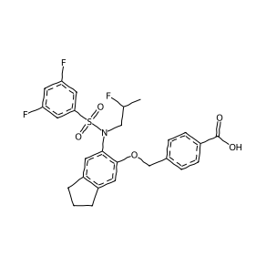 CC(F)CN(c1cc2c(cc1OCc1ccc(C(=O)O)cc1)CCC2)S(=O)(=O)c1cc(F)cc(F)c1